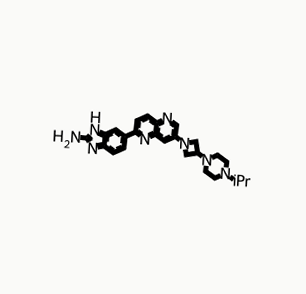 CC(C)N1CCN(C2CN(c3cnc4ccc(-c5ccc6nc(N)[nH]c6c5)nc4c3)C2)CC1